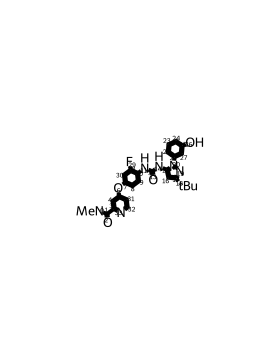 CNC(=O)c1cc(Oc2ccc(NC(=O)Nc3cc(C(C)(C)C)nn3-c3cccc(O)c3)c(F)c2)ccn1